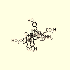 NC(=O)[C@H](CCC(=O)O)NC(=O)[C@H](Cc1cccc2ccccc12)NC(=O)[C@H](Cc1ccc(O)cc1)NC(=O)CNC(=O)[C@H](CCC(=O)O)NC(=O)CCC(=O)O